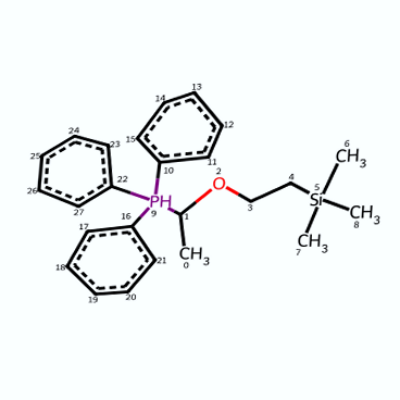 CC(OCC[Si](C)(C)C)[PH](c1ccccc1)(c1ccccc1)c1ccccc1